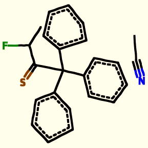 CC#N.CC(F)C(=S)C(c1ccccc1)(c1ccccc1)c1ccccc1